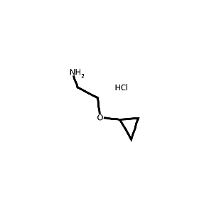 Cl.NCCOC1CC1